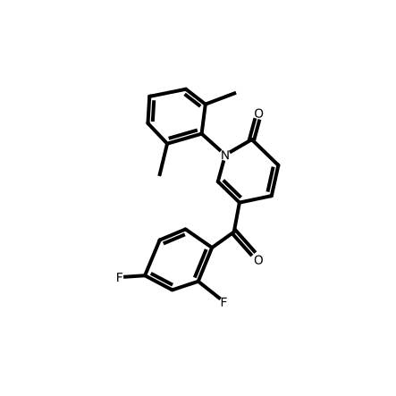 Cc1cccc(C)c1-n1cc(C(=O)c2ccc(F)cc2F)ccc1=O